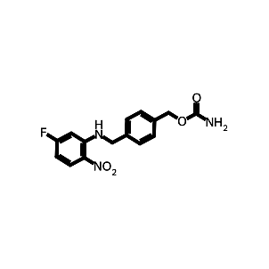 NC(=O)OCc1ccc(CNc2cc(F)ccc2[N+](=O)[O-])cc1